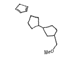 C1=CCC=C1.COCC1CCC(C2CCCC2)C1